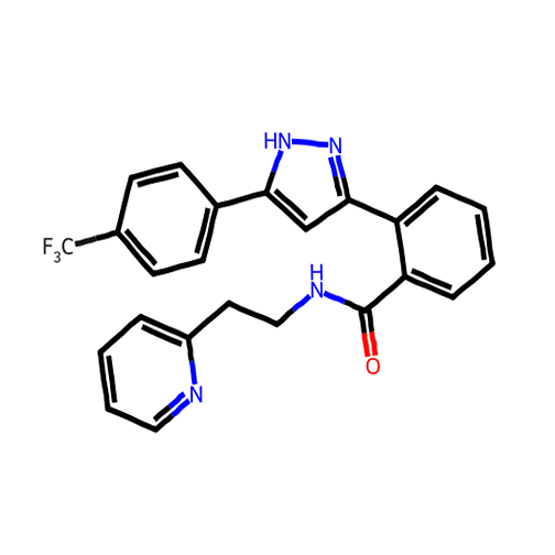 O=C(NCCc1ccccn1)c1ccccc1-c1cc(-c2ccc(C(F)(F)F)cc2)[nH]n1